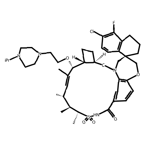 C/C1=C\[C@@H](C)[C@H](C)[C@@H](C)S(=O)(=O)NC(=O)c2ccc3c(c2)N(C[C@@H]2CC[C@H]2[C@H]1OCCN1CCN(C(C)C)CC1)C[C@@]1(CCCc2c1ccc(Cl)c2F)CO3